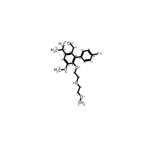 COCCOCCOc1c(OC)cc(C(C)C)c(CCl)c1-c1ccc(F)cc1